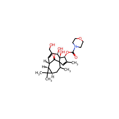 CC1=CC23C(=O)[C@@H](C=C(CO)[C@@H](O)[C@]2(O)[C@H]1OC(=O)N1CCOCC1)[C@@H]1[C@@H](CC3C)C1(C)C